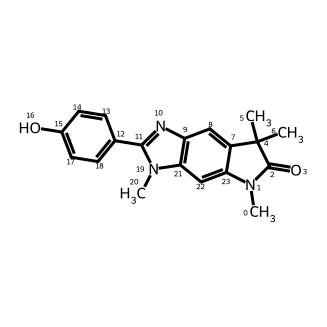 CN1C(=O)C(C)(C)c2cc3nc(-c4ccc(O)cc4)n(C)c3cc21